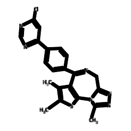 Cc1sc2c(c1C)C(c1ccc(-c3cc(Cl)ncn3)cc1)=NCc1nnc(C)n1-2